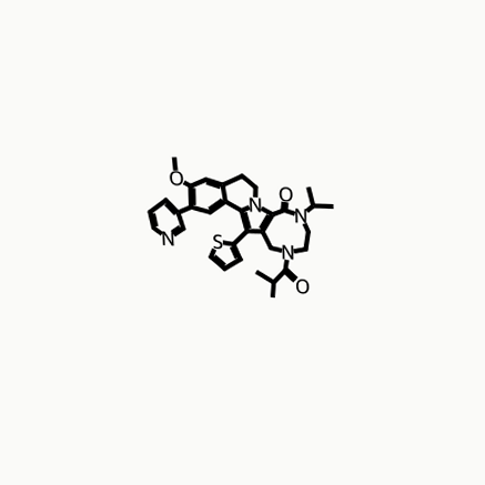 COc1cc2c(cc1-c1cccnc1)-c1c(-c3cccs3)c3c(n1CC2)C(=O)N(C(C)C)CCN(C(=O)C(C)C)C3